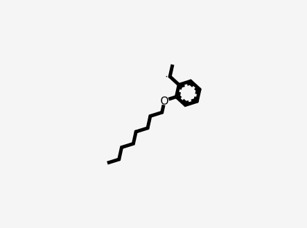 C[CH]c1ccccc1OCCCCCCCC